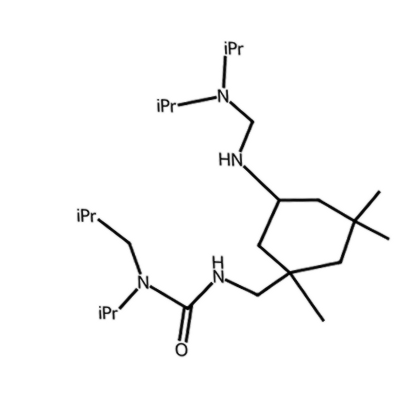 CC(C)CN(C(=O)NCC1(C)CC(NCN(C(C)C)C(C)C)CC(C)(C)C1)C(C)C